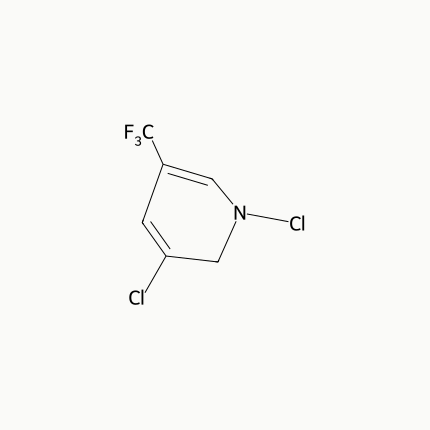 FC(F)(F)C1=CN(Cl)CC(Cl)=C1